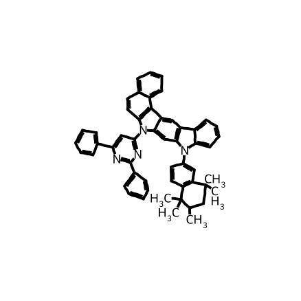 CC1CC(C)(C)c2cc(-n3c4ccccc4c4cc5c6c7ccccc7ccc6n(-c6cc(-c7ccccc7)nc(-c7ccccc7)n6)c5cc43)ccc2C1(C)C